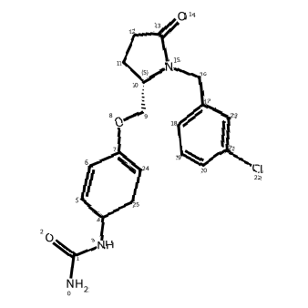 NC(=O)NC1C=CC(OC[C@@H]2CCC(=O)N2Cc2cccc(Cl)c2)=CC1